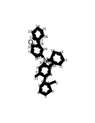 Cc1ccccc1-c1cc2c3ccccc3n(-c3ccc4oc5ccccc5c4c3)c2cc1C